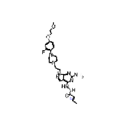 C/C=C/C(=O)NNc1nc(N)nc2c1cnn2CCN1CCN(c2ccc(OCCOC)cc2F)CC1